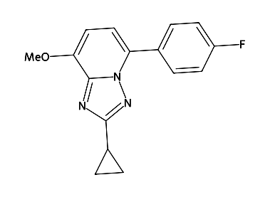 COc1ccc(-c2ccc(F)cc2)n2nc(C3CC3)nc12